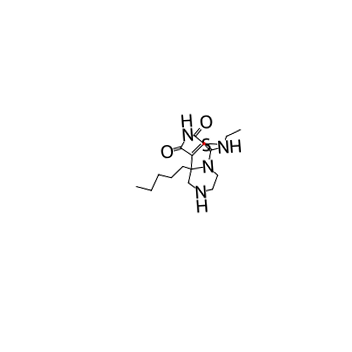 CCCCCC1(C2=C(C)C(=O)NC2=O)CNCCN1C(=S)NCC